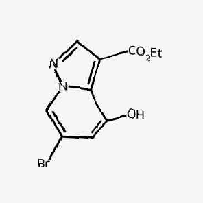 CCOC(=O)c1cnn2cc(Br)cc(O)c12